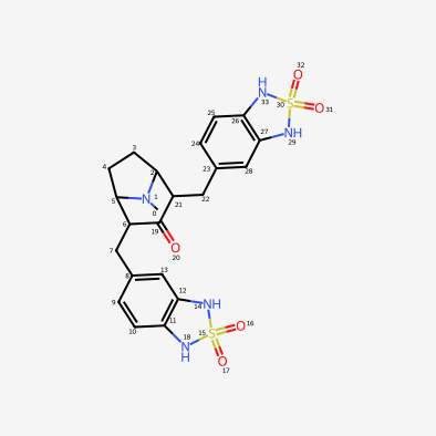 CN1C2CCC1C(Cc1ccc3c(c1)NS(=O)(=O)N3)C(=O)C2Cc1ccc2c(c1)NS(=O)(=O)N2